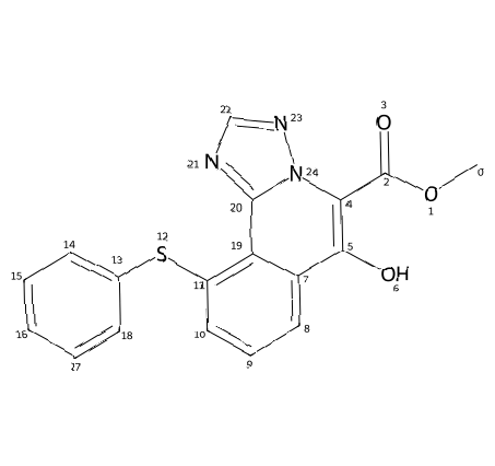 COC(=O)c1c(O)c2cccc(Sc3ccccc3)c2c2ncnn12